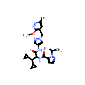 COc1nnc(C)cc1Cn1cc(NC(=O)C(NC(=O)c2ccnn2C(C)C)C(C2CC2)C2CC2)cn1